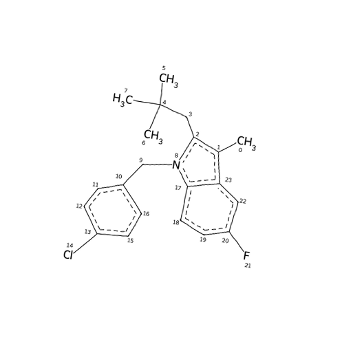 Cc1c(CC(C)(C)C)n(Cc2ccc(Cl)cc2)c2ccc(F)cc12